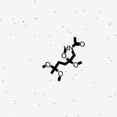 COC(C)(CCC(CNC(C)=O)(OC)OC)OC